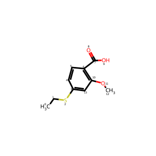 CCSc1ccc(C(=O)O)c(OC)c1